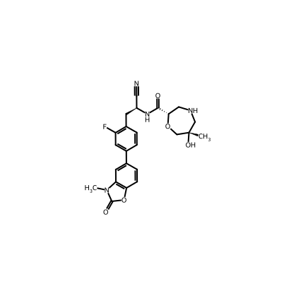 Cn1c(=O)oc2ccc(-c3ccc(C[C@@H](C#N)NC(=O)[C@@H]4CNC[C@](C)(O)CO4)c(F)c3)cc21